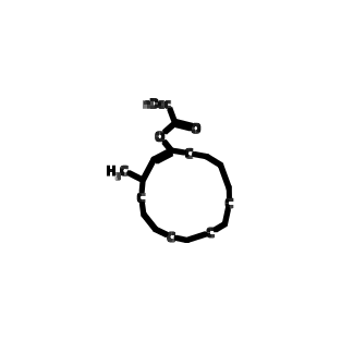 CCCCCCCCCCC(=O)O/C1=C/C(C)CCCCCCCCCCCC1